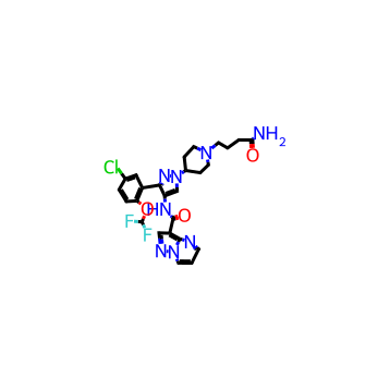 NC(=O)CCCN1CCC(n2cc(NC(=O)c3cnn4cccnc34)c(-c3cc(Cl)ccc3OC(F)F)n2)CC1